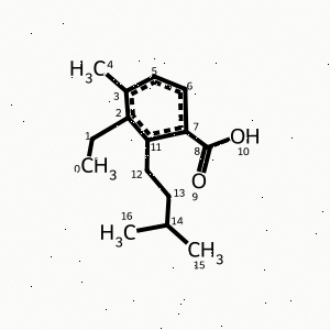 CCc1c(C)ccc(C(=O)O)c1CCC(C)C